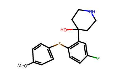 COc1ccc(Sc2ccc(F)cc2C2(O)CCNCC2)cc1